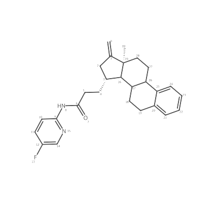 C=C1C[C@@H](CCC(=O)Nc2ccc(F)cn2)C2C3CCc4ccccc4C3CC[C@]12C